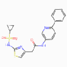 O=C(Cc1csc(NS(=O)(=O)C2CC2)n1)Nc1ccc(-c2ccccc2)nc1